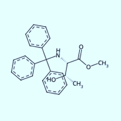 COC(=O)[C@@H](NC(c1ccccc1)(c1ccccc1)c1ccccc1)[C@H](C)O